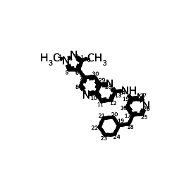 Cc1nn(C)cc1-c1cnc2ccc(Nc3cc(CC4CCCCC4)cnn3)nc2c1